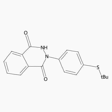 CC(C)(C)Sc1ccc(-n2[nH]c(=O)c3ccccc3c2=O)cc1